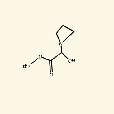 CC(C)(C)OC(=O)C(O)N1CCC1